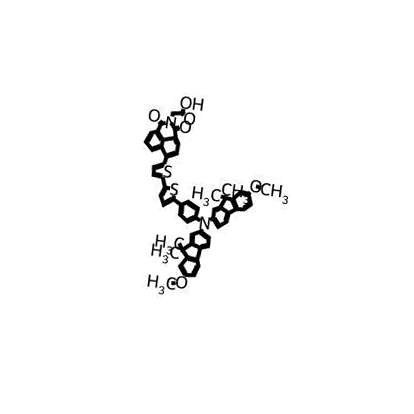 COc1ccc2c(c1)C(C)(C)c1cc(N(c3ccc(-c4ccc(-c5ccc(-c6ccc7c8c(cccc68)C(=O)N(CC(=O)O)C7=O)s5)s4)cc3)c3ccc4c(c3)C(C)(C)c3cc(OC)ccc3-4)ccc1-2